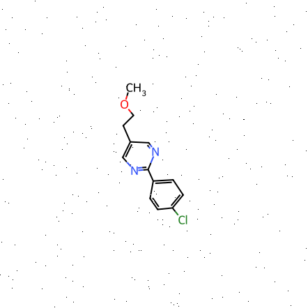 COCCc1cnc(-c2ccc(Cl)cc2)nc1